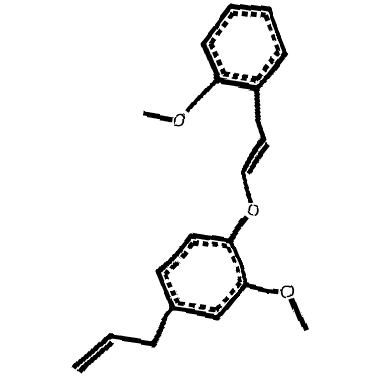 C=CCc1ccc(OC=Cc2ccccc2OC)c(OC)c1